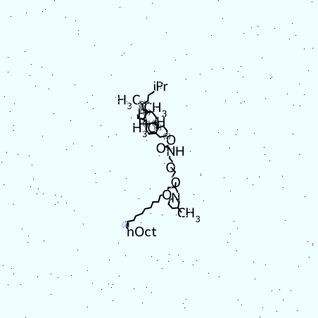 CCCCCCCC/C=C\CCCCCCCCOCC(CN1CCCC(C)C1)OCCOCCNC(=O)O[C@H]1CC[C@@]2(C)C(=CC[C@H]3[C@@H]4CC[C@H]([C@H](C)CCCC(C)C)[C@@]4(C)CC[C@@H]32)C1